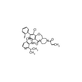 C=CC(=O)N1CCN2C(=O)c3c(Nc4c(C)ccnc4C(C)C)nc(-c4ccccc4F)c(Cl)c3OCC2C1